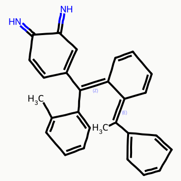 C/C(c1ccccc1)=c1/cccc/c1=C(\C1=CC(=N)C(=N)C=C1)c1ccccc1C